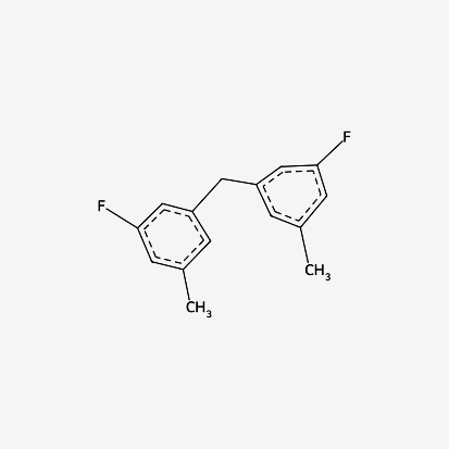 Cc1cc(F)cc(Cc2cc(C)cc(F)c2)c1